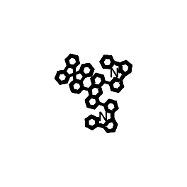 c1ccc2c(c1)-c1ccccc1C21c2ccccc2-c2c(-c3c4cccc(-c5cccc6c7cccc8c9ccccc9n(c56)c87)c4cc4c(-c5cccc6c7cccc8c9ccccc9n(c56)c87)cccc34)cccc21